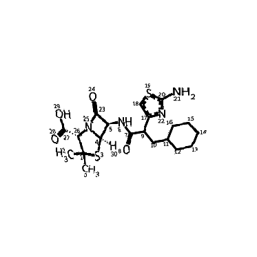 CC1(C)S[C@@H]2[C@H](NC(=O)C(CC3CCCCC3)c3csc(N)n3)C(=O)N2[C@H]1C(=O)O